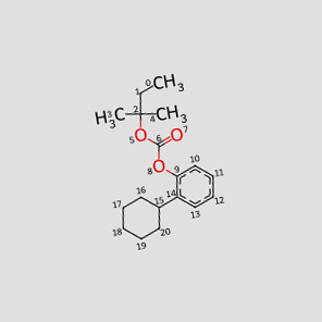 CCC(C)(C)OC(=O)Oc1ccccc1C1CCCCC1